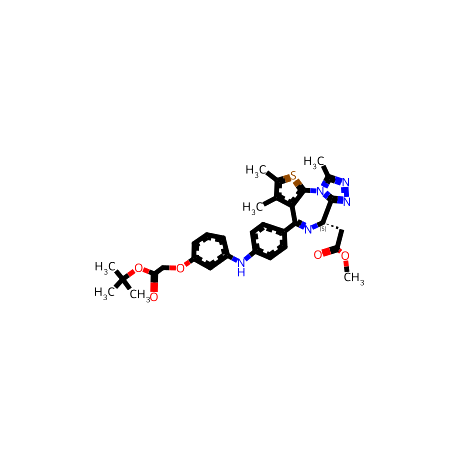 COC(=O)C[C@@H]1N=C(c2ccc(Nc3cccc(OCC(=O)OC(C)(C)C)c3)cc2)c2c(sc(C)c2C)-n2c(C)nnc21